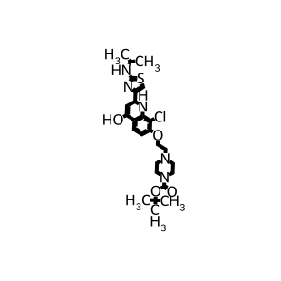 CC(C)Nc1nc(C2C=C(O)c3ccc(OCCN4CCN(C(=O)OC(C)(C)C)CC4)c(Cl)c3N2)cs1